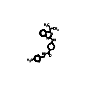 Cc1ccc(CNC(=O)C2CCC(Nc3nc(N(C)C)c4ccccc4n3)CC2)cc1